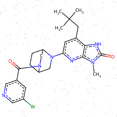 Cn1c(=O)[nH]c2c(CC(C)(C)C)cc(N3CC4CCC3CN4C(=O)c3cncc(Br)c3)nc21